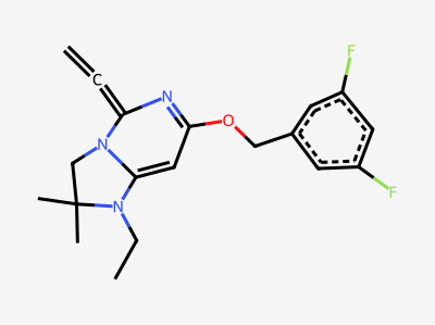 C=C=C1N=C(OCc2cc(F)cc(F)c2)C=C2N1CC(C)(C)N2CC